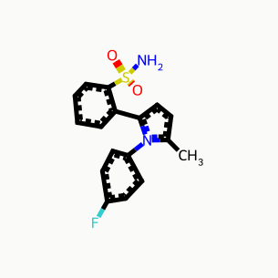 Cc1ccc(-c2ccccc2S(N)(=O)=O)n1-c1ccc(F)cc1